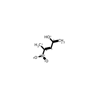 C=C(O)/C=C(\C)[N+](=O)[O-]